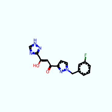 O=C(C=C(O)c1nc[nH]n1)c1ccn(Cc2cccc(F)c2)n1